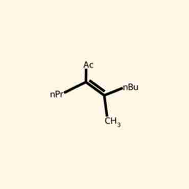 CCCC/C(C)=C(/CCC)C(C)=O